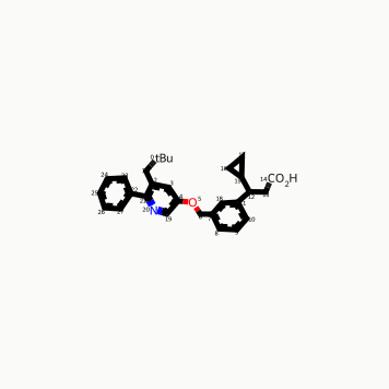 CC(C)(C)Cc1cc(OCc2cccc(C(CC(=O)O)C3CC3)c2)cnc1-c1ccccc1